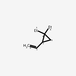 C=CC1CC1(CC)CC